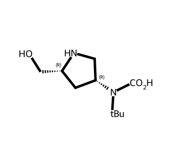 CC(C)(C)N(C(=O)O)[C@H]1CN[C@@H](CO)C1